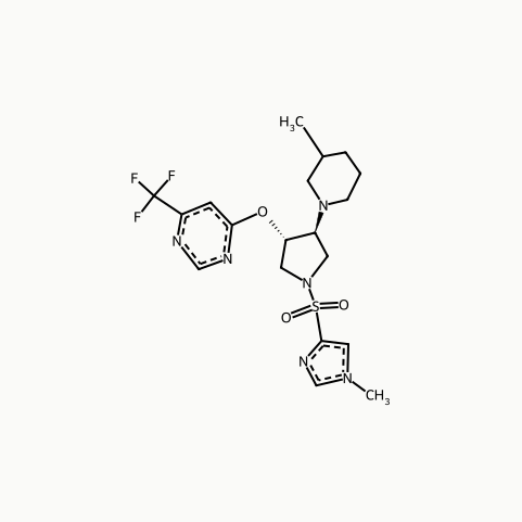 CC1CCCN([C@H]2CN(S(=O)(=O)c3cn(C)cn3)C[C@@H]2Oc2cc(C(F)(F)F)ncn2)C1